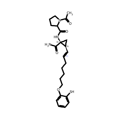 CC(=O)N1CCCC1C(=O)N[C@@]1(C(N)=O)C[C@H]1/C=C/CCCCCOc1ccccc1S